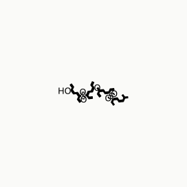 C=C/C(O)=C\C=C(/C=C)S(=O)(=O)/C(C=C)=C/C=C(\C=C)O/C(C=C)=C/C=C(\C=C)S(=O)(=O)/C(=C/C=C\C(C)C)CC